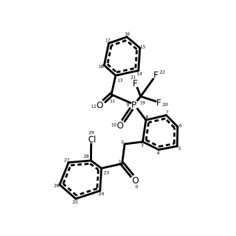 O=C(Cc1ccccc1P(=O)(C(=O)c1ccccc1)C(F)(F)F)c1ccccc1Cl